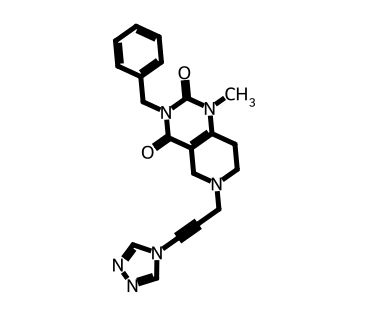 Cn1c2c(c(=O)n(Cc3ccccc3)c1=O)CN(CC#Cn1cnnc1)CC2